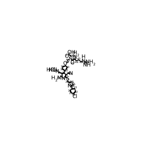 C[C@@H](C(=O)O)N(CCOc1ccc(-c2c(C#N)c(N)nc(SCc3csc(-c4ccc(Cl)cc4)n3)c2C#N)cc1)C(=O)[C@@H](N)CCCNC(=N)N.Cl.Cl